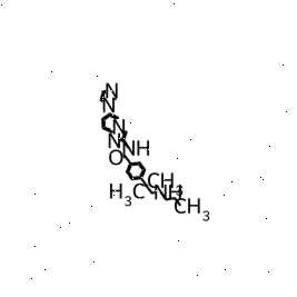 CCCNCC(C)(C)c1ccc(C(=O)Nc2cn3cc(-n4ccnc4)ccc3n2)cc1